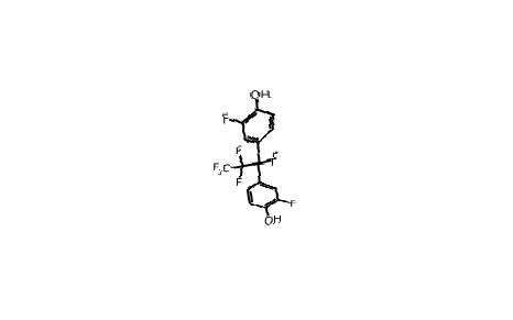 Oc1ccc(C(F)(c2ccc(O)c(F)c2)C(F)(F)C(F)(F)F)cc1F